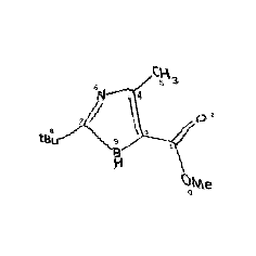 COC(=O)C1=C(C)N=C(C(C)(C)C)B1